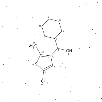 Cc1cc(C(O)C2CCCCC2)c(C)s1